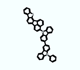 c1ccc(-n2c3ccccc3c3cc(-c4ccc5c(c4)c4ccccc4n5-c4ccc5c6c(cccc46)-c4c-5ccc5c4sc4ccccc45)ccc32)cc1